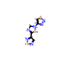 [CH]1N=C(c2cnsn2)SN1c1csnn1